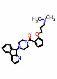 CN(C)CCCOc1ccccc1C(=O)N1CCN(C2c3ccccc3-c3cccnc32)CC1